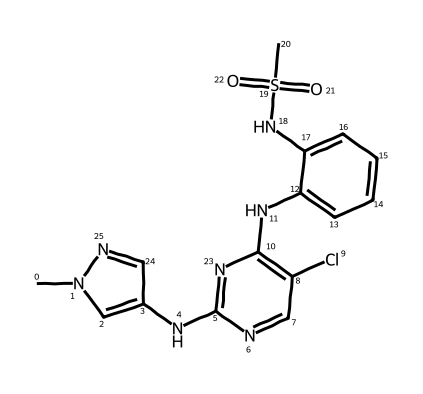 Cn1cc(Nc2ncc(Cl)c(Nc3ccccc3NS(C)(=O)=O)n2)cn1